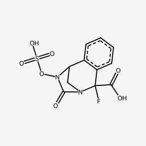 O=C1N(OS(=O)(=O)O)C2CN1C(F)(C(=O)O)c1ccccc12